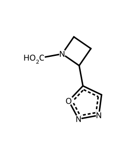 O=C(O)N1CCC1c1cnno1